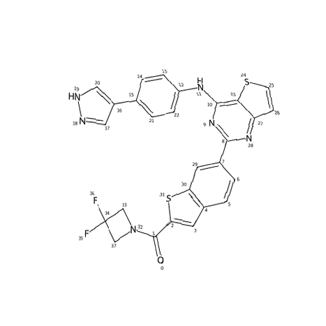 O=C(c1cc2ccc(-c3nc(Nc4ccc(-c5cn[nH]c5)cc4)c4sccc4n3)cc2s1)N1CC(F)(F)C1